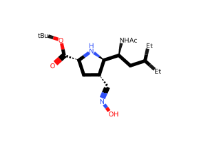 CCC(CC)C[C@H](NC(C)=O)[C@@H]1N[C@@H](C(=O)OC(C)(C)C)C[C@H]1C=NO